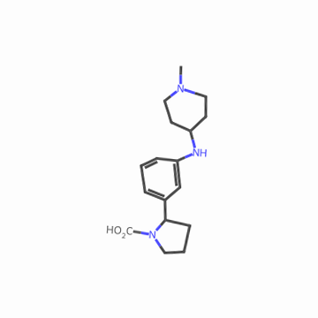 CN1CCC(Nc2cccc(C3CCCN3C(=O)O)c2)CC1